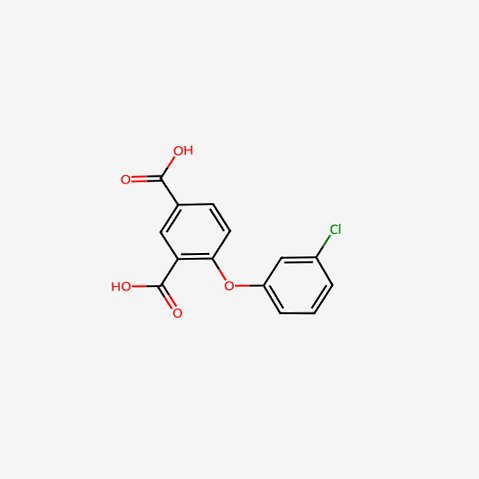 O=C(O)c1ccc(Oc2cccc(Cl)c2)c(C(=O)O)c1